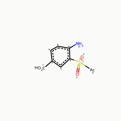 CC(=O)S(=O)(=O)c1cc(C(=O)O)ccc1N